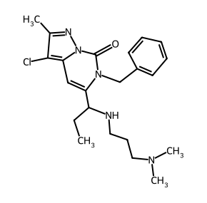 CCC(NCCCN(C)C)c1cc2c(Cl)c(C)nn2c(=O)n1Cc1ccccc1